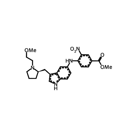 COCCN1CCC[C@@H]1Cc1c[nH]c2ccc(Nc3ccc(C(=O)OC)cc3[N+](=O)[O-])cc12